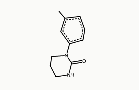 Cc1cccc(N2CCCNC2=O)c1